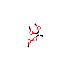 COO[Si](C)(OC)OC